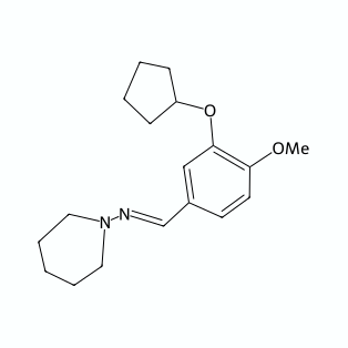 COc1ccc(C=NN2CCCCC2)cc1OC1CCCC1